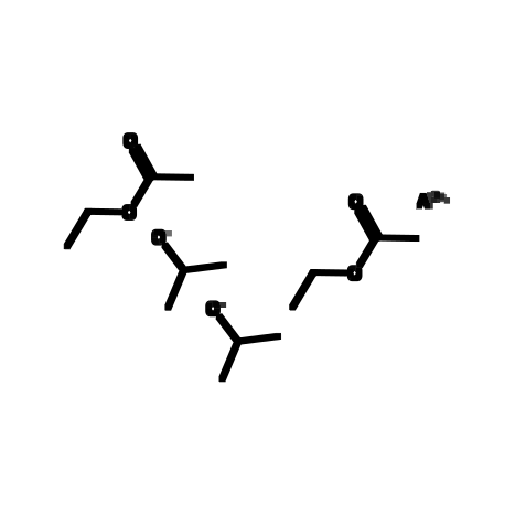 CC(C)[O-].CC(C)[O-].CCOC(C)=O.CCOC(C)=O.[Al+2]